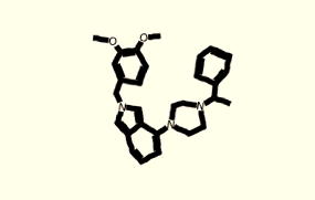 COc1ccc(Cn2cc3cccc(N4CCN(C(C)c5ccccc5)CC4)c3c2)cc1OC